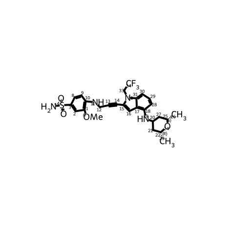 COc1cc(S(N)(=O)=O)ccc1NCC#Cc1cc2c(NC3C[C@@H](C)O[C@@H](C)C3)cccc2n1CC(F)(F)F